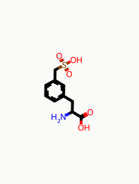 NC(Cc1cccc(CS(=O)(=O)O)c1)C(=O)O